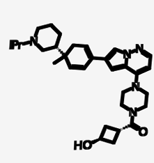 CC(C)N1CCC[C@H](C2(C)C=CC(c3cc4c(N5CCN(C(=O)[C@H]6C[C@H](O)C6)CC5)ccnn4c3)=CC2)C1